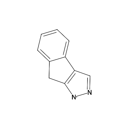 C1=N[N]C2=C1c1ccccc1C2